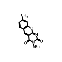 CCCCn1c(=O)nc2oc3cc(C)ccc3cc-2c1=O